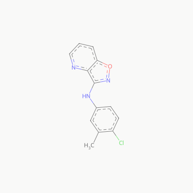 Cc1cc(Nc2noc3cccnc23)ccc1Cl